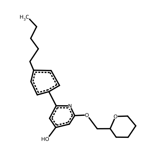 CCCCCc1ccc(-c2cc(O)cc(OCC3CCCCO3)n2)cc1